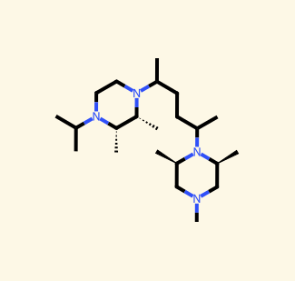 CC(CCC(C)N1[C@H](C)CN(C)C[C@@H]1C)N1CCN(C(C)C)[C@@H](C)[C@H]1C